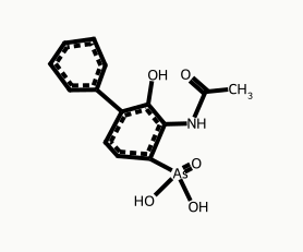 CC(=O)Nc1c([As](=O)(O)O)ccc(-c2ccccc2)c1O